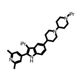 Cc1cc(-c2[nH]c3ccc(C4CCN(C5CCN(C(C)C)CC5)CC4)cc3c2C(C)C)cc(C)n1